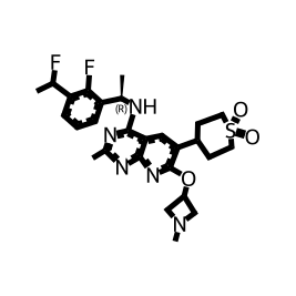 Cc1nc(N[C@H](C)c2cccc(C(C)F)c2F)c2cc(C3CCS(=O)(=O)CC3)c(OC3CN(C)C3)nc2n1